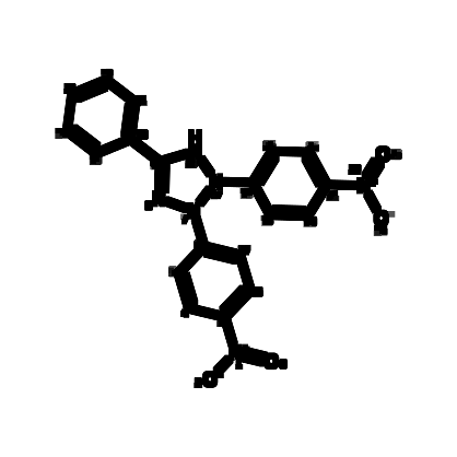 O=[N+]([O-])c1ccc(N2N=C(c3ccccc3)NN2c2ccc([N+](=O)[O-])cc2)cc1